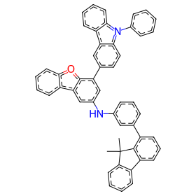 CC1(C)c2ccccc2-c2cccc(-c3cccc(Nc4cc(-c5ccc6c(c5)c5ccccc5n6-c5ccccc5)c5oc6ccccc6c5c4)c3)c21